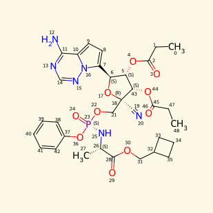 CCC(=O)O[C@H]1[C@H](c2ccc3c(N)ncnn23)O[C@](C#N)(CO[P@@](=O)(N[C@@H](C)C(=O)OCC2CCC2)Oc2ccccc2)[C@H]1OC(=O)CC